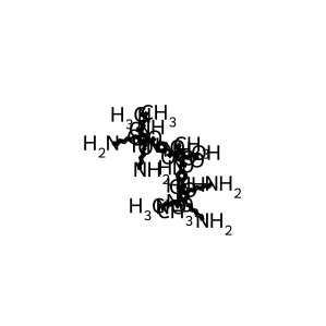 COc1cc(OCC(=O)O)c(C(=O)N[C@H]2CC[C@H](NC(=O)c3cc(C(=O)NCCN(C)C)c(OCCCCCN)cc3OCCCCCN)CC2)cc1C(=O)N[C@H]1CC[C@H](NC(=O)c2cc(C(=O)NCCN(C)C)c(OCCCCCN)cc2OCCCCCN)CC1